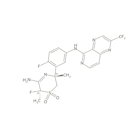 C[C@]1(F)C(N)=N[C@](C)(c2cc(Nc3nccc4nc(C(F)(F)F)cnc34)ccc2F)CS1(=O)=O